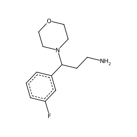 NCCC(c1cccc(F)c1)N1CCOCC1